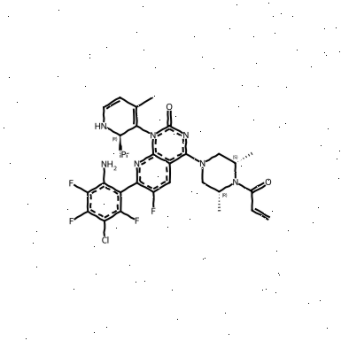 C=CC(=O)N1[C@H](C)CN(c2nc(=O)n(C3=C(C)C=CN[C@@H]3C(C)C)c3nc(-c4c(N)c(F)c(F)c(Cl)c4F)c(F)cc23)C[C@@H]1C